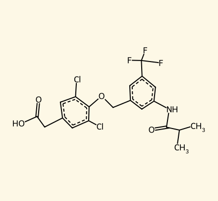 CC(C)C(=O)Nc1cc(COc2c(Cl)cc(CC(=O)O)cc2Cl)cc(C(F)(F)F)c1